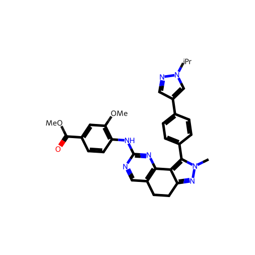 COC(=O)c1ccc(Nc2ncc3c(n2)-c2c(nn(C)c2-c2ccc(-c4cnn(C(C)C)c4)cc2)CC3)c(OC)c1